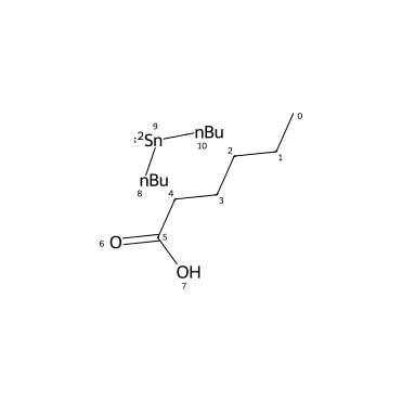 CCCCCC(=O)O.CCC[CH2][2Sn][CH2]CCC